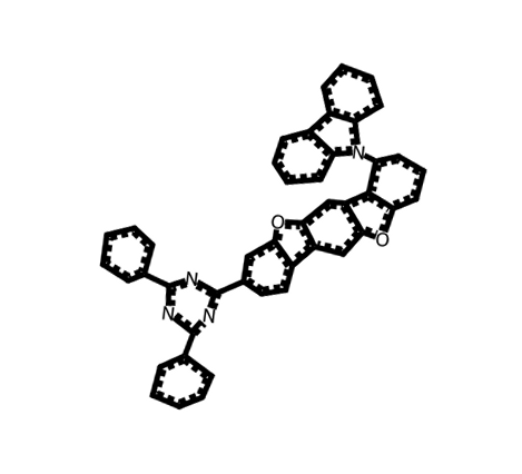 c1ccc(-c2nc(-c3ccccc3)nc(-c3ccc4c(c3)oc3cc5c(cc34)oc3cccc(-n4c6ccccc6c6ccccc64)c35)n2)cc1